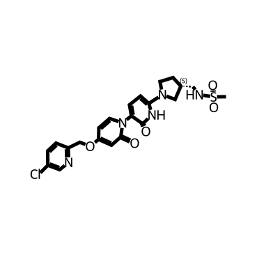 CS(=O)(=O)NC[C@H]1CCN(c2ccc(-n3ccc(OCc4ccc(Cl)cn4)cc3=O)c(=O)[nH]2)C1